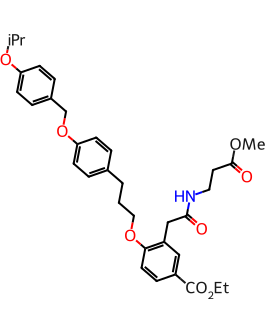 CCOC(=O)c1ccc(OCCCc2ccc(OCc3ccc(OC(C)C)cc3)cc2)c(CC(=O)NCCC(=O)OC)c1